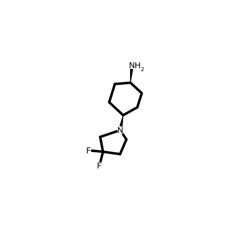 N[C@H]1CC[C@@H](N2CCC(F)(F)C2)CC1